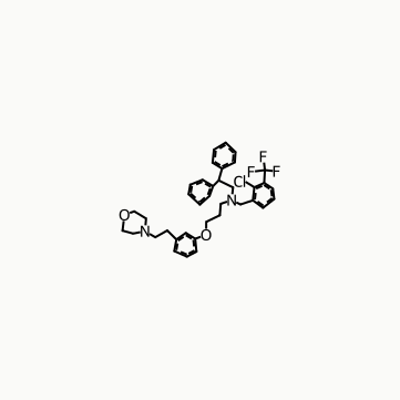 FC(F)(F)c1cccc(CN(CCCOc2cccc(CCN3CCOCC3)c2)CC(c2ccccc2)c2ccccc2)c1Cl